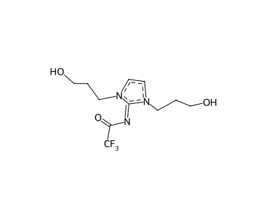 O=C(N=c1n(CCCO)ccn1CCCO)C(F)(F)F